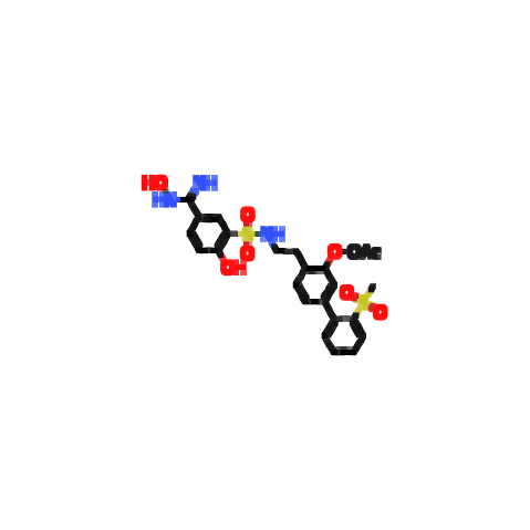 CC(=O)OOc1cc(-c2ccccc2S(C)(=O)=O)ccc1CCNS(=O)(=O)c1cc(C(=N)NO)ccc1O